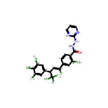 O=C(NNc1ncccn1)c1ccc(C(F)=CC(c2cc(Cl)c(Cl)c(Cl)c2)C(F)(F)F)cc1Cl